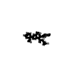 C[C@@H](Nc1c(NC=O)nnc2cc(-c3ccccc3OC(F)(F)F)ccc12)C1CC1